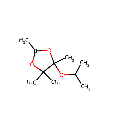 CB1OC(C)(C)C(C)(OC(C)C)O1